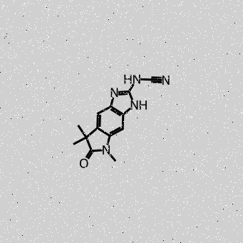 CN1C(=O)C(C)(C)c2cc3nc(NC#N)[nH]c3cc21